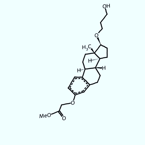 COC(=O)COc1ccc2c(c1)CC[C@@H]1[C@@H]2CC[C@]2(C)[C@@H](OCCCO)CC[C@@H]12